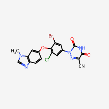 Cn1cnc2ccc(Oc3c(Cl)cc(-n4nc(C#N)c(=O)[nH]c4=O)cc3Br)cc21